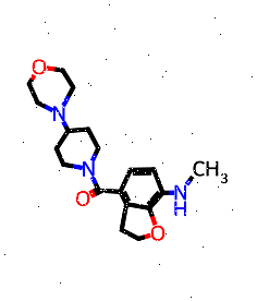 CNc1ccc(C(=O)N2CCC(N3CCOCC3)CC2)c2c1OCC2